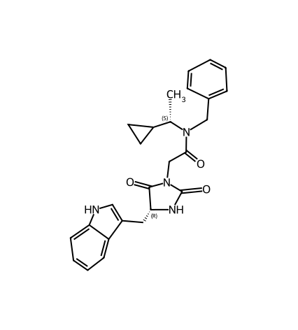 C[C@@H](C1CC1)N(Cc1ccccc1)C(=O)CN1C(=O)N[C@H](Cc2c[nH]c3ccccc23)C1=O